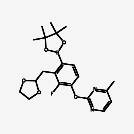 Cc1ccnc(Oc2ccc(B3OC(C)(C)C(C)(C)O3)c(CC3OCCO3)c2F)n1